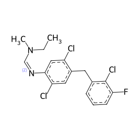 CCN(C)/C=N\c1cc(Cl)c(Cc2cccc(F)c2Cl)cc1Cl